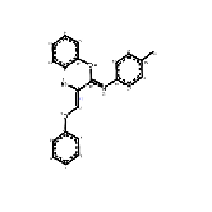 CC/C(=C\Oc1ccccc1)C(=Nc1ccc(C)cc1)Oc1ccccc1